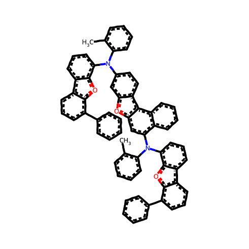 Cc1ccccc1N(c1ccc2c(c1)oc1cc(N(c3ccccc3C)c3cccc4c3oc3c(-c5ccccc5)cccc34)c3ccccc3c12)c1cccc2c1oc1c(-c3ccccc3)cccc12